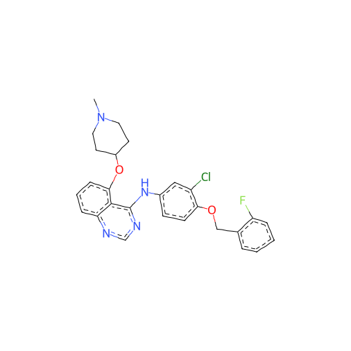 CN1CCC(Oc2cccc3ncnc(Nc4ccc(OCc5ccccc5F)c(Cl)c4)c23)CC1